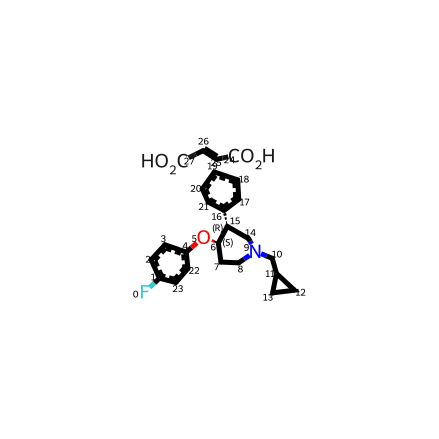 Fc1ccc(O[C@H]2CCN(CC3CC3)C[C@H]2c2ccccc2)cc1.O=C(O)C=CC(=O)O